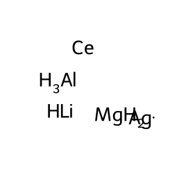 [Ag].[AlH3].[Ce].[LiH].[MgH2]